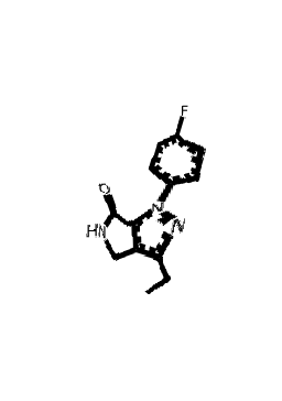 CCc1nn(-c2ccc(F)cc2)c2c1CNC2=O